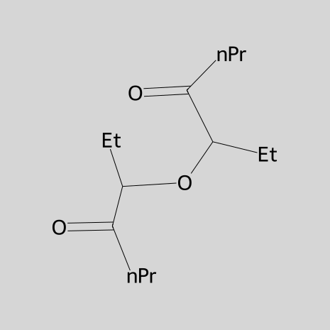 CCCC(=O)C(CC)OC(CC)C(=O)CCC